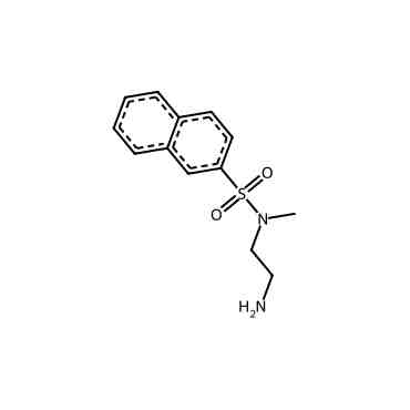 CN(CCN)S(=O)(=O)c1ccc2ccccc2c1